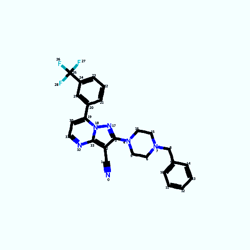 N#Cc1c(N2CCN(Cc3ccccc3)CC2)nn2c(-c3cccc(C(F)(F)F)c3)ccnc12